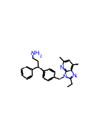 CCc1nc2c(C)cc(C)nc2n1Cc1ccc(C(CCN)c2ccccc2)cc1